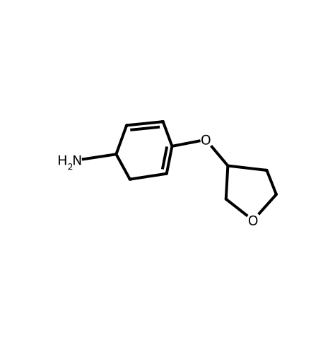 NC1C=CC(OC2CCOC2)=CC1